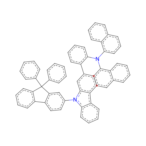 c1ccc(C2(c3ccccc3)c3ccccc3-c3ccc(-n4c5ccccc5c5ccc(-c6ccccc6N(c6cccc7ccccc67)c6cccc7ccccc67)cc54)cc32)cc1